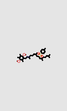 COc1c(C)c(C)c(OC)c(C/C=C(\C)CCC=C(C)CC(C=C(C)CCC=C(C)C)S(=O)(=O)c2ccc(C)cc2)c1C